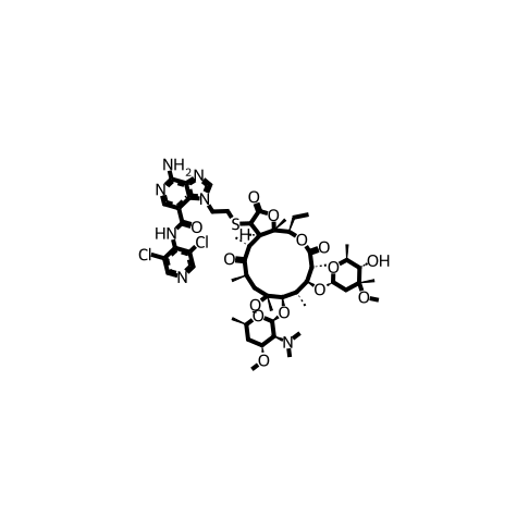 CC[C@H]1OC(=O)[C@H](C)[C@@H](O[C@H]2C[C@@](C)(OC)[C@@H](O)[C@H](C)O2)[C@H](C)[C@@H](O[C@@H]2O[C@H](C)C[C@@H](OC)[C@@H]2N(C)C)[C@](C)(OC)C[C@@H](C)C(=O)[C@H](C)[C@H]2C(SCCn3cnc4c(N)ncc(C(=O)Nc5c(Cl)cncc5Cl)c43)C(=O)O[C@@]21C